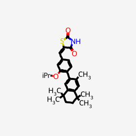 Cc1cc2c(cc1-c1ccc(C=C3SC(=O)NC3=O)cc1OC(C)C)C(C)(C)CCC2(C)C